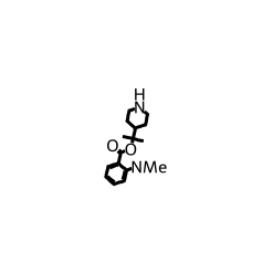 CNc1ccccc1C(=O)OC(C)(C)C1CCNCC1